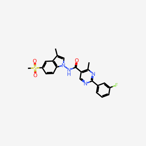 Cc1nc(-c2cccc(F)c2)ncc1C(=O)Nn1cc(C)c2cc(S(C)(=O)=O)ccc21